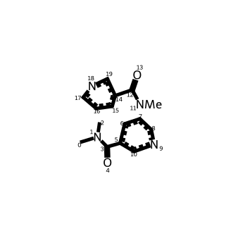 CN(C)C(=O)c1cccnc1.CNC(=O)c1cccnc1